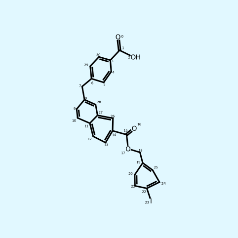 O=C(O)c1ccc(Cc2ccc3ccc(C(=O)OCc4ccc(I)cc4)cc3c2)cc1